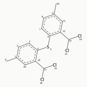 Cc1ccc(Sc2ccc(C)cc2C(Cl)Cl)c(C(Cl)Cl)c1